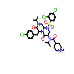 CC(C)N1CC2N(C(=O)C(N(C(=O)C3CCNCC3)C(C)C)CN2S(=O)(=O)c2ccc(Cl)cc2Cl)C(Cc2ccc(Cl)cc2)C1=O